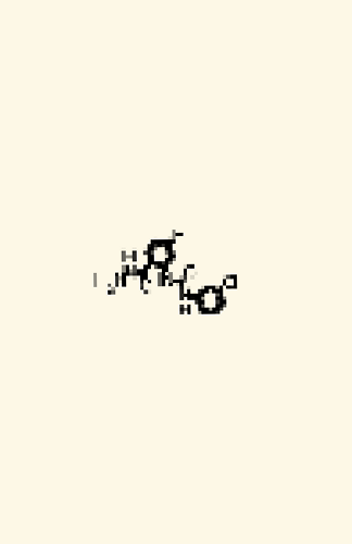 NNC(=O)c1ccc(F)cc1NC(=O)Nc1cccc(Cl)c1